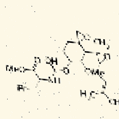 COC(=O)[C@@H](CC(C)C)N[C@@H](O)O[C@@H]1CC[C@]2(CO2)[C@@H]([C@@]2(C)O[C@@H]2CC=C(C)C)[C@@H]1OC